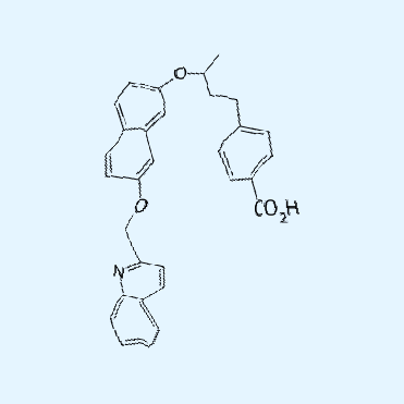 CC(CCc1ccc(C(=O)O)cc1)Oc1ccc2ccc(OCc3ccc4ccccc4n3)cc2c1